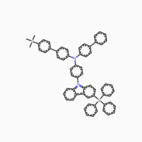 C[Si](C)(C)c1ccc(-c2ccc(N(c3ccc(-c4ccccc4)cc3)c3ccc(-n4c5ccccc5c5cc([Si](c6ccccc6)(c6ccccc6)c6ccccc6)ccc54)cc3)cc2)cc1